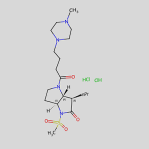 CCC[C@H]1C(=O)N(S(C)(=O)=O)[C@H]2CCN(C(=O)CCCN3CCN(C)CC3)[C@H]12.Cl.Cl